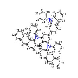 c1ccc(N2c3cc(-c4ccc5c6ccccc6n(-c6ccccc6)c5c4)cc4c3B(c3ccc5cc6ccccc6cc5c32)c2ccc3cc5ccccc5cc3c2N4c2ccccc2)cc1